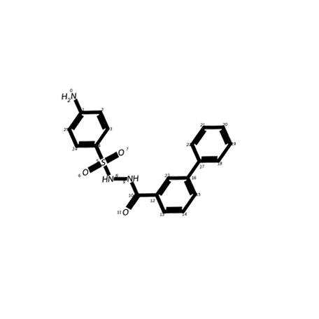 Nc1ccc(S(=O)(=O)NNC(=O)c2cccc(-c3ccccc3)c2)cc1